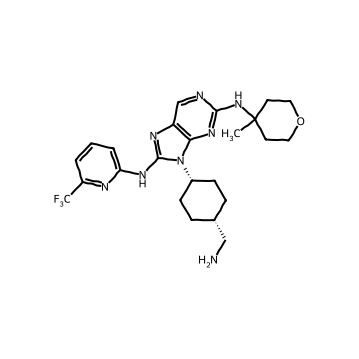 CC1(Nc2ncc3nc(Nc4cccc(C(F)(F)F)n4)n([C@H]4CC[C@@H](CN)CC4)c3n2)CCOCC1